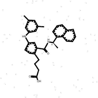 Cc1cc(C)cc(Nc2ccc(CCCC(=O)O)c(C(=O)N[C@H](C)c3cccc4ccccc34)c2)c1